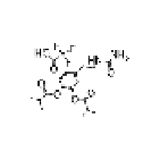 CC(C)C(=O)Oc1ccc(CCNC(N)=O)cc1OC(=O)C(C)C.O=C(O)C(F)(F)F